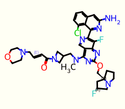 CN(CC1CN(C(=O)/C=C/CN2CCOCC2)C1)c1nc(OC[C@@]23CCCN2C[C@H](F)C3)nc2c(F)c(-c3nc(N)cc4cccc(Cl)c34)ncc12